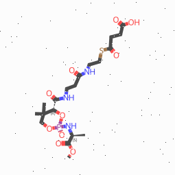 COC(=O)[C@H](C)NP1(=O)OCC(C)(C)[C@H](C(=O)NCCC(=O)NCCSC(=O)CCC(=O)O)O1